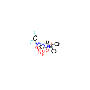 O=C(NCc1ccc(F)cc1F)C1=CN2C[C@@H]3O[C@@H](c4ccccc4)[C@@H](c4ccccc4)N3C(=O)C2=C(O)C1O